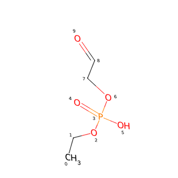 CCOP(=O)(O)OCC=O